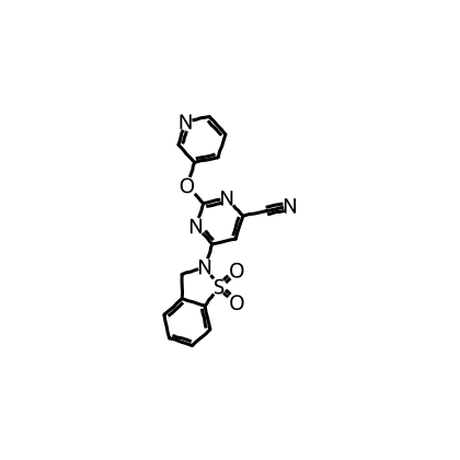 N#Cc1cc(N2Cc3ccccc3S2(=O)=O)nc(Oc2cccnc2)n1